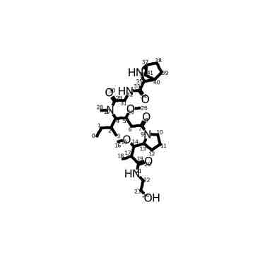 CCC(C)C(C(CC(=O)N1CCCC1C(OC)C(C)C(=O)NCCO)OC)N(C)C(=O)CNC(=O)C1NC2CCC1C2